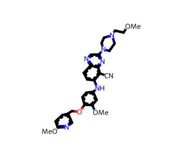 COCCN1CCN(c2cnc3ccc(Nc4ccc(OCc5ccc(OC)nc5)c(OC)c4)c(C#N)c3n2)CC1